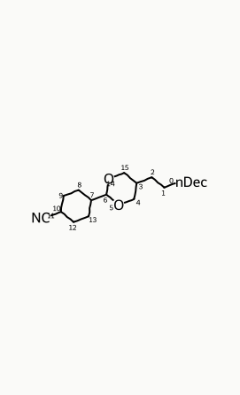 CCCCCCCCCCCCC1COC(C2CCC(C#N)CC2)OC1